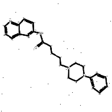 O=C(CCCCN1CCN(c2ccccc2)CC1)Nc1ccc2ncccc2c1